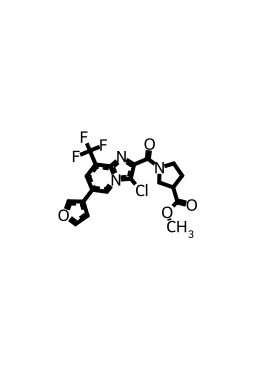 COC(=O)C1CCN(C(=O)c2nc3c(C(F)(F)F)cc(-c4ccoc4)cn3c2Cl)C1